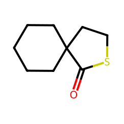 O=C1SCCC12CCCCC2